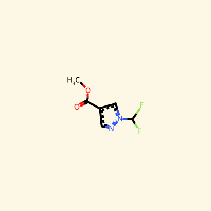 COC(=O)c1cnn(C(F)F)c1